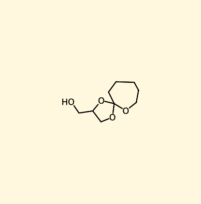 OCC1COC2(CCCCCO2)O1